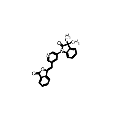 CC1(C)C(=O)N(c2cncc(C=C3OC(=O)c4ccccc43)c2)c2ccccc21